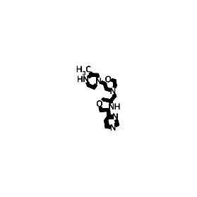 CC1CN(C2CN(CC3COCC(c4ccncn4)N3)CCO2)CCN1